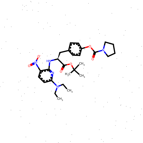 CCN(CC)c1ccc([N+](=O)[O-])c(N[C@@H](Cc2ccc(OC(=O)N3CCCC3)cc2)C(=O)OC(C)(C)C)n1